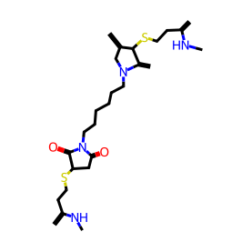 C=C(CCSC1CC(=O)N(CCCCCCN2CC(=C)C(SCCC(=C)NC)C2=C)C1=O)NC